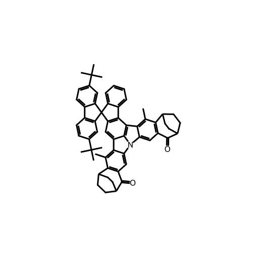 Cc1c2c(cc3c1c1cc4c(c5c6c(C)c7c(cc6n3c15)C(=O)C1CCC7CC1)-c1ccccc1C41c3cc(C(C)(C)C)ccc3-c3ccc(C(C)(C)C)cc31)C(=O)C1CCC2CC1